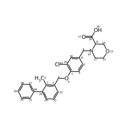 Cc1c(COc2ccc(CN3CCOCC3C(=O)O)cc2Cl)cccc1-c1ccccc1